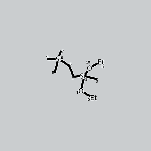 CCO[Si](C)(CC[Si](C)(C)C)OCC